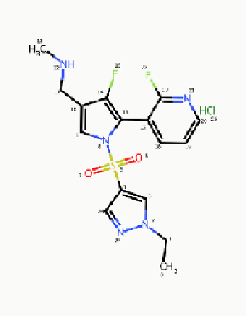 CCn1cc(S(=O)(=O)n2cc(CNC)c(F)c2-c2cccnc2F)cn1.Cl